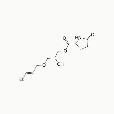 CCC=CCOCC(O)COC(=O)C1CCC(=O)N1